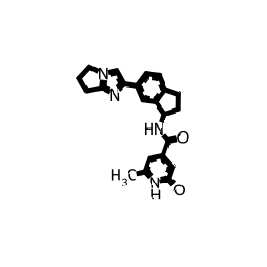 Cc1cc(C(=O)NC2CCc3ccc(-c4cn5c(n4)CCC5)cc32)cc(=O)[nH]1